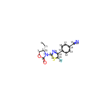 CC[C@H]1COC(=O)N1c1nc(-c2ccc(C#N)cc2)c(F)s1